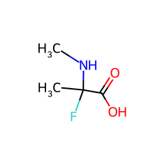 CNC(C)(F)C(=O)O